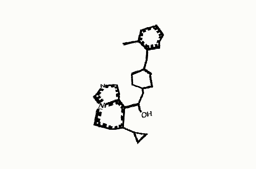 Cc1ccccc1C1CCC(C(O)c2c(C3CC3)ccn3cncc23)CC1